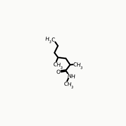 CCCC(C)CC(C)C(=O)NC